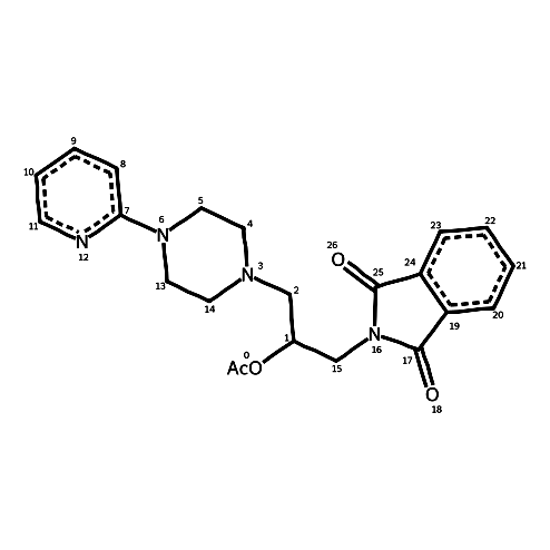 CC(=O)OC(CN1CCN(c2ccccn2)CC1)CN1C(=O)c2ccccc2C1=O